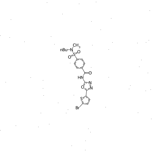 CCCCN(C)S(=O)(=O)c1ccc(C(=O)Nc2nnc(-c3ccc(Br)s3)o2)cc1